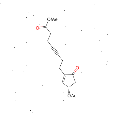 COC(=O)CCC#CCCC1=C[C@H](OC(C)=O)CC1=O